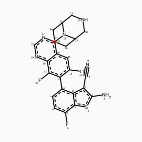 N#Cc1c(N)sc2c(F)ccc(-c3c(Cl)cc4c(N5C6CNCC5COC6)ncnc4c3F)c12